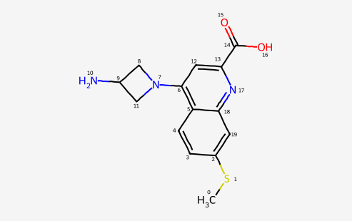 CSc1ccc2c(N3CC(N)C3)cc(C(=O)O)nc2c1